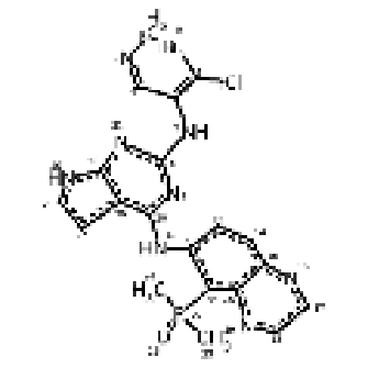 CCC(C)/C(Cl)=C(\C=N/C)Nc1nc(Nc2ccc3nccnc3c2P(C)(C)=O)c2cc[nH]c2n1